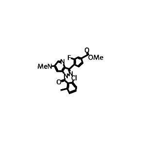 CNc1cnc2c(-c3ccc(C(=O)OC)cc3F)nn(C(=O)c3c(C)cccc3Cl)c2c1